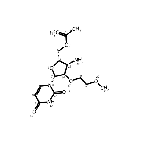 C=C(C)OC[C@H]1O[C@@H](n2ccc(=O)[nH]c2=O)[C@H](OCCOC)[C@@H]1N